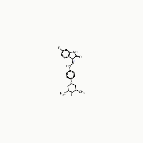 CC1CN(c2ccc(N/C=C3/C(=O)Nc4cc(F)ccc43)cc2)CC(C)N1